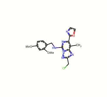 COc1ccc(CNc2nc(-c3ncco3)c(C)c3nc(CCl)nn23)c(OC)c1